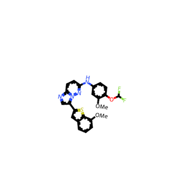 COc1cc(Nc2ccc3ncc(-c4cc5cccc(OC)c5s4)n3n2)ccc1OC(F)F